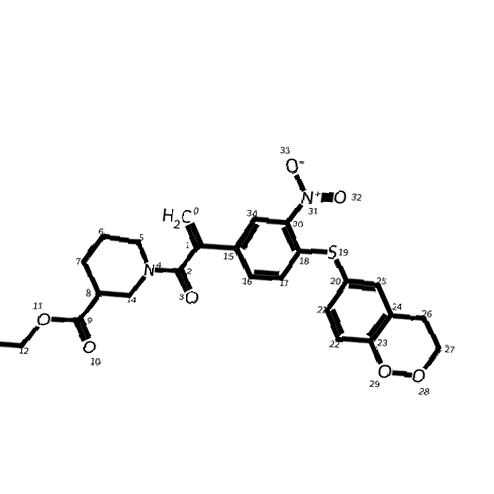 C=C(C(=O)N1CCCC(C(=O)OCC)C1)c1ccc(Sc2ccc3c(c2)CCOO3)c([N+](=O)[O-])c1